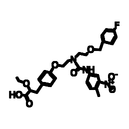 CCOC(Cc1ccc(OCCN(CCOCc2ccc(F)cc2)C(=O)Nc2ccc(C)c([N+](=O)[O-])c2)cc1)C(=O)O